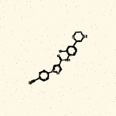 N#Cc1ccc(-n2cc(C(=O)Nc3ccc(C4CNCCO4)cc3Cl)cn2)cc1